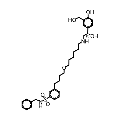 O=S(=O)(NCc1ccccc1)c1cccc(CCCCOCCCCCCNC[C@H](O)c2ccc(O)c(CO)c2)c1